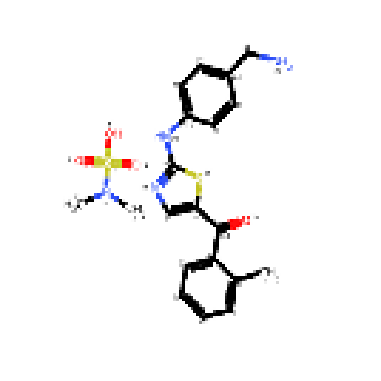 CN(C)S(=O)(=O)O.Cc1ccccc1C(=O)c1cnc(Nc2ccc(CN)cc2)s1